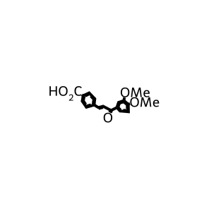 COc1ccc(C(=O)C=Cc2ccc(C(=O)O)cc2)cc1OC